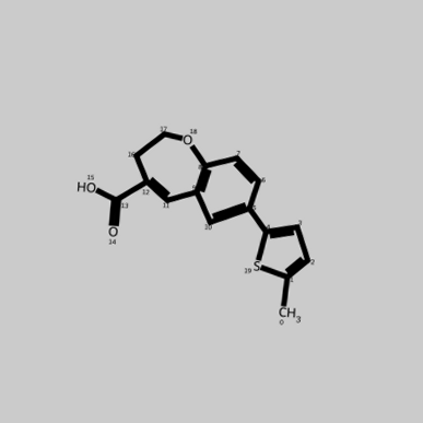 Cc1ccc(-c2ccc3c(c2)C=C(C(=O)O)CCO3)s1